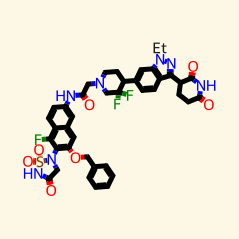 CCn1nc(C2CCC(=O)NC2=O)c2ccc(C3CCN(CC(=O)Nc4ccc5c(F)c(N6CC(=O)NS6(=O)=O)c(OCc6ccccc6)cc5c4)CC3(F)F)cc21